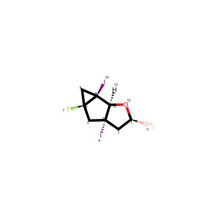 B[C@H]1C[C@@]2(I)C[C@]3(F)C[C@]3(I)[C@H]2O1